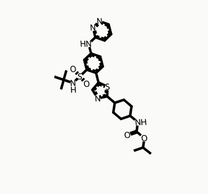 CC(C)OC(=O)NC1CCC(c2ncc(-c3ccc(Nc4cccnn4)cc3S(=O)(=O)NC(C)(C)C)s2)CC1